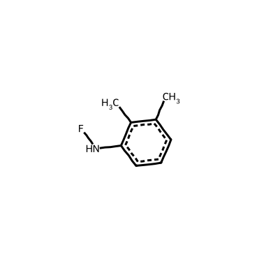 Cc1cccc(NF)c1C